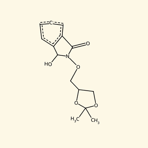 CC1(C)OCC(CON2C(=O)c3ccccc3C2O)O1